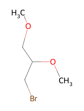 COCC(CBr)OC